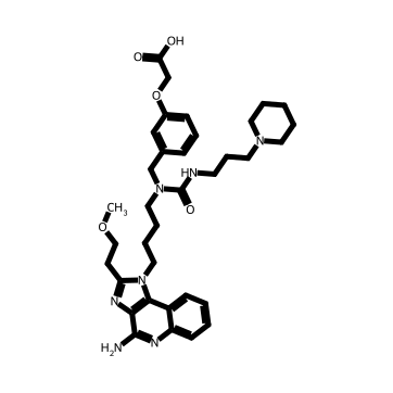 COCCc1nc2c(N)nc3ccccc3c2n1CCCCN(Cc1cccc(OCC(=O)O)c1)C(=O)NCCCN1CCCCC1